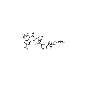 C[C@@H](NC(=O)[C@H]1CCCN1C(=O)c1cccc(S(=O)(=O)N2CC(N)C2)c1)c1ccc(C(F)F)cc1F